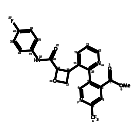 COC(=O)c1cc(C(F)(F)F)ncc1-c1ncccc1C1COC1C(=O)Nc1ccc(F)cc1